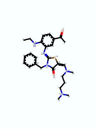 CCNc1ccc(C(C)=O)cc1N=C1SC(=CN(C)CCCN(C)C)C(=O)N1Cc1ccccc1